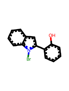 Oc1ccccc1-c1cc2ccccc2n1Br